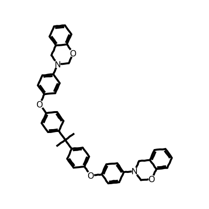 CC(C)(c1ccc(Oc2ccc(N3COc4ccccc4C3)cc2)cc1)c1ccc(Oc2ccc(N3COc4ccccc4C3)cc2)cc1